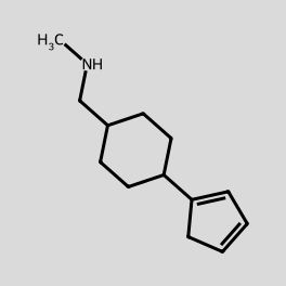 CNCC1CCC(C2=CC=CC2)CC1